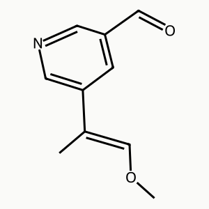 COC=C(C)c1cncc(C=O)c1